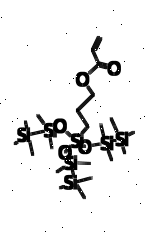 C=CC(=O)OCCC[Si](O[Si](C)(C)[Si](C)(C)C)(O[Si](C)(C)[Si](C)(C)C)O[Si](C)(C)[Si](C)(C)C